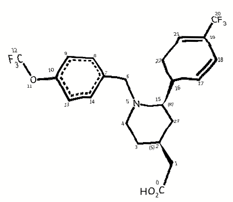 O=C(O)C[C@H]1CCN(Cc2ccc(OC(F)(F)F)cc2)[C@@H](C2C=CC(C(F)(F)F)=CC2)C1